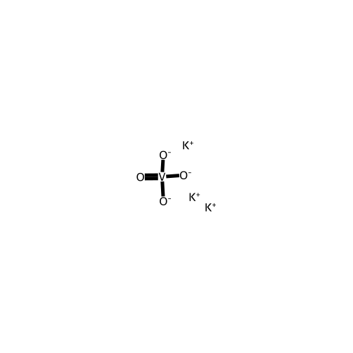 [K+].[K+].[K+].[O]=[V]([O-])([O-])[O-]